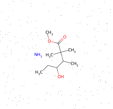 CCC(O)C(C)C(C)(C)C(=O)OC.N